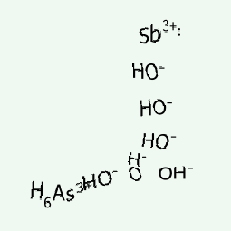 [AsH6+3].[OH-].[OH-].[OH-].[OH-].[OH-].[OH-].[Sb+3]